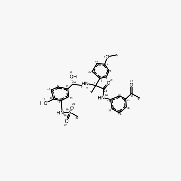 COc1ccc(C(C)(NC[C@@H](O)c2ccc(O)c(NS(C)(=O)=O)c2)C(=O)Nc2cccc(C(C)=O)c2)cc1